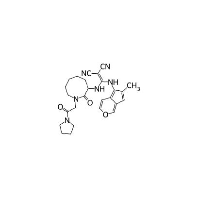 Cc1cc2coccc-2c1NC(NC1CCCCCN(CC(=O)N2CCCC2)C1=O)=C(C#N)C#N